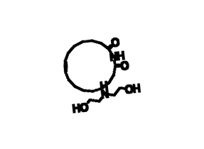 O=C1CCCCC/C=C\CCCCCCCC(=O)N1.OCCNCCO